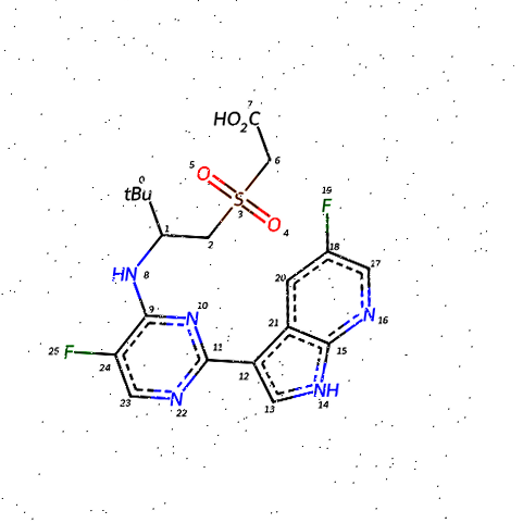 CC(C)(C)C(CS(=O)(=O)CC(=O)O)Nc1nc(-c2c[nH]c3ncc(F)cc23)ncc1F